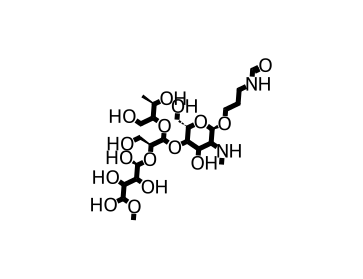 CNC1C(O)C(OC(OC(CO)[C@@H](C)O)[C@H](CO)O[C@H](O)C(O)C(O)C(O)OC)[C@H](CO)O[C@H]1OCCCNC=O